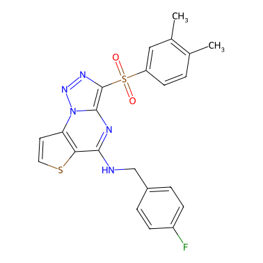 Cc1ccc(S(=O)(=O)c2nnn3c2nc(NCc2ccc(F)cc2)c2sccc23)cc1C